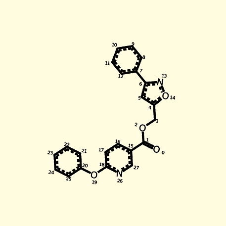 O=C(OCc1cc(-c2ccccc2)no1)c1ccc(Oc2ccccc2)nc1